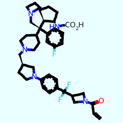 C=CC(=O)N1CC(C(F)(F)c2ccc(N3CC[C@@H](CN4CCC([C@@](CN5CCC5)(c5cccc(F)c5)[C@H]5CCC[C@@H]5NC(=O)O)CC4)C3)cc2)C1